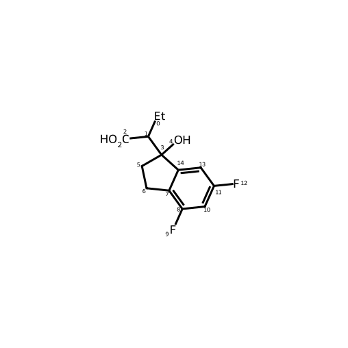 CCC(C(=O)O)C1(O)CCc2c(F)cc(F)cc21